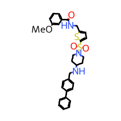 COc1cccc(C(=O)NCc2ccc(S(=O)(=O)N3CCC(NCc4ccc(-c5ccccc5)cc4)CC3)s2)c1